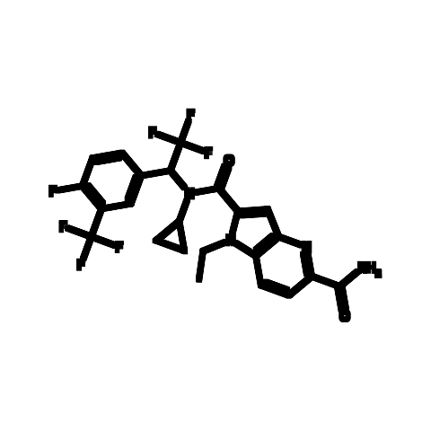 CCn1c(C(=O)N(C2CC2)C(c2ccc(F)c(C(F)(F)F)c2)C(F)(F)F)cc2nc(C(N)=O)ccc21